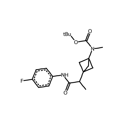 CC(C(=O)Nc1ccc(F)cc1)C12CC(N(C)C(=O)OC(C)(C)C)(C1)C2